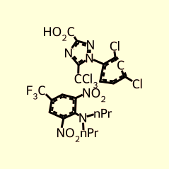 CCCN(CCC)c1c([N+](=O)[O-])cc(C(F)(F)F)cc1[N+](=O)[O-].O=C(O)c1nc(C(Cl)(Cl)Cl)n(-c2ccc(Cl)cc2Cl)n1